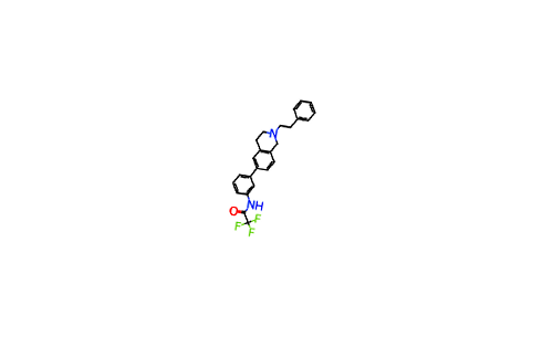 O=C(Nc1cccc(-c2ccc3c(c2)CCN(CCc2ccccc2)C3)c1)C(F)(F)F